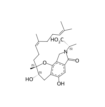 CC(C)=CCCC(C)=CCC[C@]1(C)Oc2c(c(O)cc3c2CN([C@@H](C)C(=O)O)C3=O)C[C@@H]1O